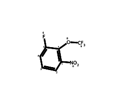 O=[N+]([O-])c1cccc(F)c1OC(F)(F)F